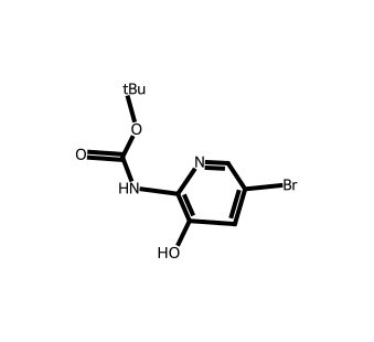 CC(C)(C)OC(=O)Nc1ncc(Br)cc1O